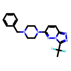 CC(F)(F)c1nnc2ccc(N3CCN(Cc4ccccc4)CC3)nn12